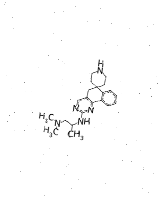 CC(CN(C)C)Nc1ncc2c(n1)-c1ccccc1C1(CCNCC1)C2